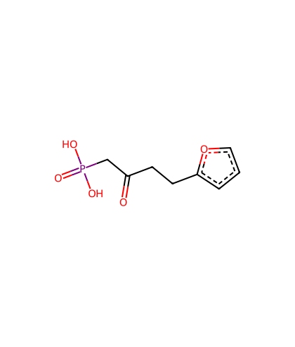 O=C(CCc1ccco1)CP(=O)(O)O